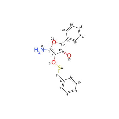 NC1=C(OSCc2ccccc2)C(=O)C(c2ccccc2)O1